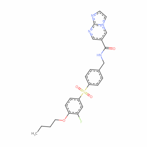 CCCCOc1ccc(S(=O)(=O)c2ccc(CNC(=O)c3cnc4nccn4c3)cc2)cc1F